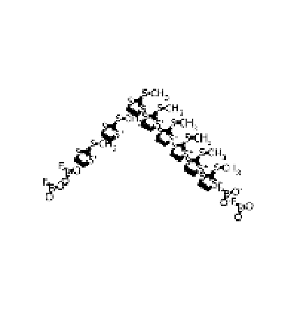 CSc1scc[s+]1.CSc1scc[s+]1.CSc1scc[s+]1.CSc1scc[s+]1.CSc1scc[s+]1.CSc1scc[s+]1.CSc1scc[s+]1.CSc1scc[s+]1.[O-]B([O-])F.[O-]B([O-])F.[O-]B([O-])F.[O-]B([O-])F